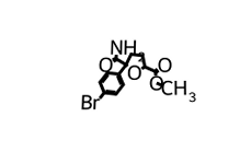 COC(=O)C1CCC(C(N)=O)(c2ccc(Br)cc2)O1